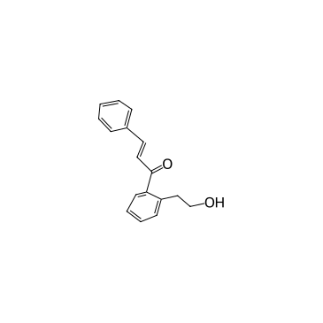 O=C(C=Cc1ccccc1)c1ccccc1CCO